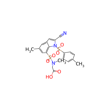 Cc1ccc(S(=O)(=O)n2c(C#N)cc3cc(C)cc(S(=O)(=O)N(C)CC(=O)O)c32)cc1